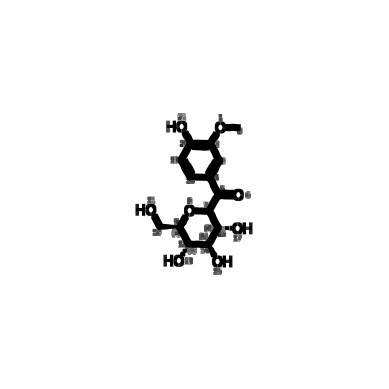 COc1cc(C(=O)C2O[C@H](CO)[C@@H](O)[C@H](O)[C@H]2O)ccc1O